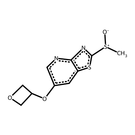 C[S+]([O-])c1nc2ncc(OC3COC3)cc2s1